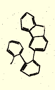 Cc1ccccc1-c1ccccc1-c1ccc2sc3ccccc3c2c1